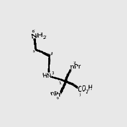 CCCC(CCC)(NCCN)C(=O)O